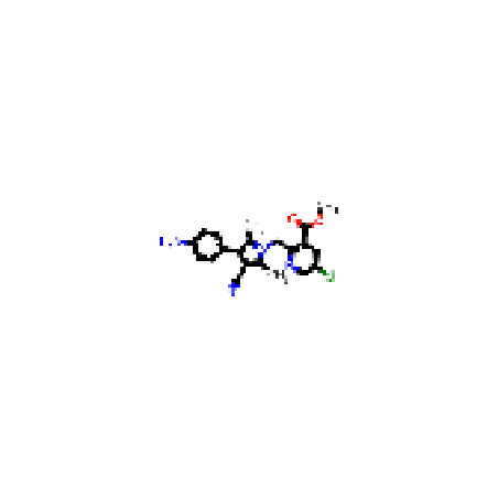 COC(=O)c1cc(Cl)cnc1Cn1c(C)c(C#N)c(-c2ccc(N)cc2)c1C